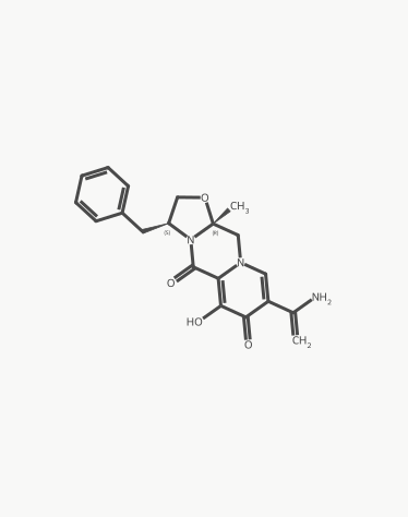 C=C(N)c1cn2c(c(O)c1=O)C(=O)N1[C@@H](Cc3ccccc3)CO[C@]1(C)C2